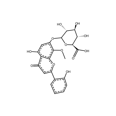 COc1c(OC2O[C@H](C(=O)O)[C@@H](O)[C@H](O)[C@H]2O)cc(O)c2c(=O)cc(-c3ccccc3O)oc12